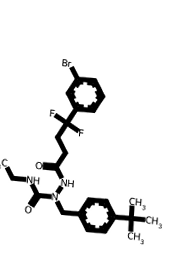 CCNC(=O)N(Cc1ccc(C(C)(C)C)cc1)NC(=O)CCC(F)(F)c1cccc(Br)c1